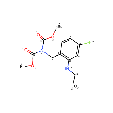 CC(C)(C)OC(=O)N(Cc1ccc(F)cc1NCC(=O)O)C(=O)OC(C)(C)C